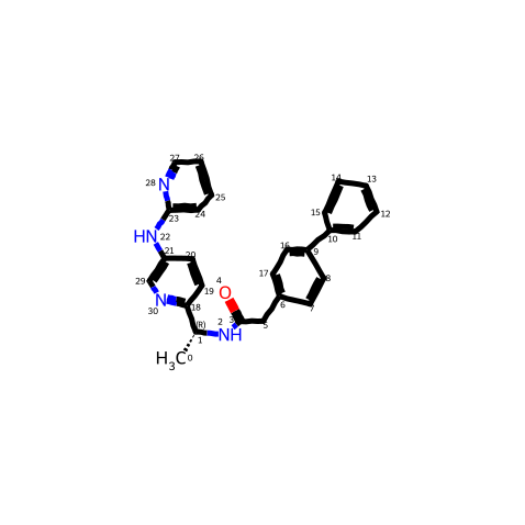 C[C@@H](NC(=O)Cc1ccc(-c2ccccc2)cc1)c1ccc(Nc2ccccn2)cn1